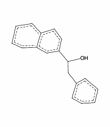 OC(Cc1ccccc1)c1ccc2ccccc2c1